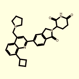 O=C1CCC(N2Cc3cc(-c4cc(CN5CCCC5)c5cccc(C6CCC6)c5n4)ccc3C2=O)C(=O)N1